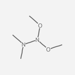 CON(OC)N(C)C